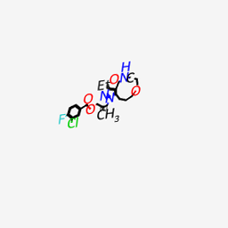 CCc1nn(C[C@@H](C)COC(=O)c2ccc(F)c(Cl)c2)c2c1C(=O)NCCCOCCC2